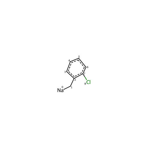 [Na][CH2]c1ccccc1Cl